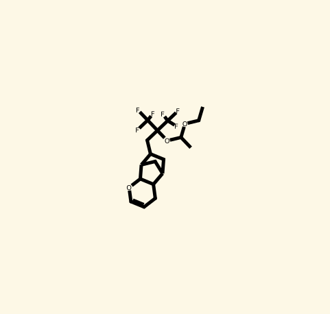 CCOC(C)OC(CC1CC2CC1C1OC=CCC21)(C(F)(F)F)C(F)(F)F